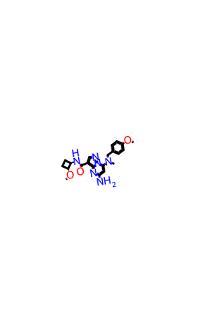 COc1ccc(CN(C)c2cc(N)nc3c(C(=O)N[C@@H]4CC[C@H]4OC)cnn23)cc1